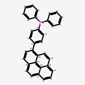 c1ccc(P(c2ccccc2)c2ccc(-c3ccc4ccc5cccc6ccc3c4c56)cc2)cc1